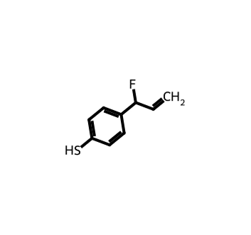 C=CC(F)c1ccc(S)cc1